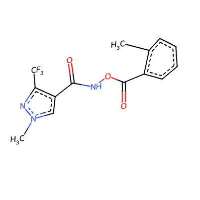 Cc1ccccc1C(=O)ONC(=O)c1cn(C)nc1C(F)(F)F